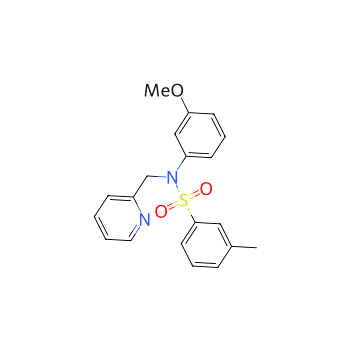 COc1cccc(N(Cc2ccccn2)S(=O)(=O)c2cccc(C)c2)c1